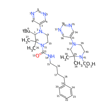 CC(C)(C)C1N(c2cncnc2)CCN(C(=O)NCCCCc2ccccc2)C1(C)C.CC1(C)CN(c2cncnc2)CCN1C(=O)O